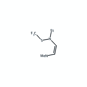 CCN(/C=C\NC)SC(F)(F)F